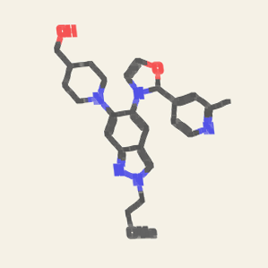 COCCn1cc2cc(N3C=COC3c3ccnc(C)c3)c(N3CCC(CO)CC3)cc2n1